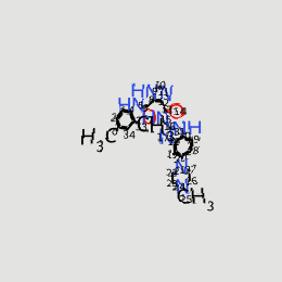 Cc1ccc(NC(=O)c2[nH]cnc2C(=O)Nc2nc3cc(N4CCN(C)CC4)ccc3[nH]2)c(C)c1